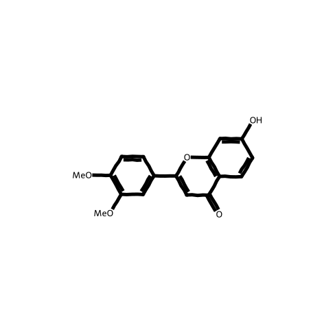 COc1ccc(-c2cc(=O)c3ccc(O)cc3o2)cc1OC